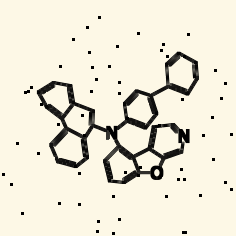 c1ccc(-c2ccc(N(c3cc4ccccc4c4ccccc34)c3cccc4oc5cnccc5c34)cc2)cc1